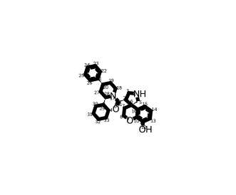 O=C([C@@H]1CNC[C@]12CCOc1c(O)cccc12)N1CC[C@@H](c2ccccc2)C[C@H]1C1CCCCC1